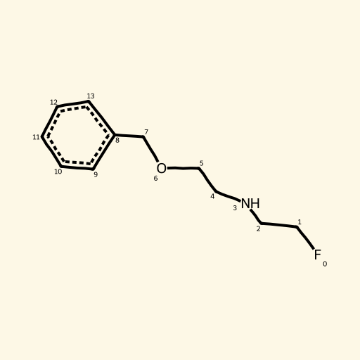 FCCNCCOCc1ccccc1